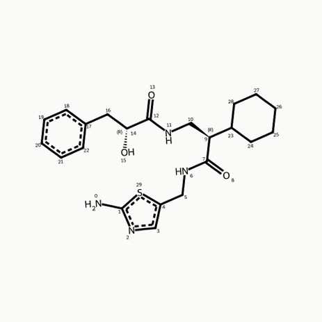 Nc1ncc(CNC(=O)[C@@H](CNC(=O)[C@H](O)Cc2ccccc2)C2CCCCC2)s1